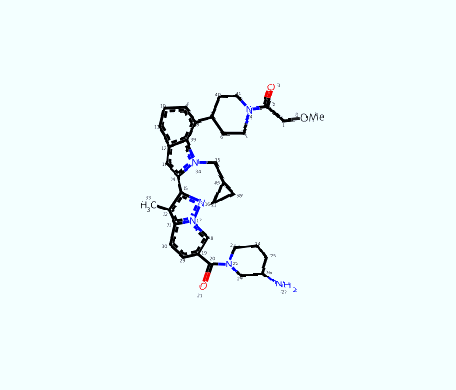 COCC(=O)N1CCC(c2cccc3cc(-c4nn5cc(C(=O)N6CCCC(N)C6)ccc5c4C)n(CC4CC4)c23)CC1